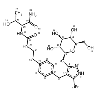 CC(C)c1[nH]nc(O[C@@H]2O[C@H](CO)[C@@H](O)[C@H](O)[C@H]2O)c1Cc1ccc(CCNC(=O)N[C@H](C(N)=O)[C@@H](C)O)cc1